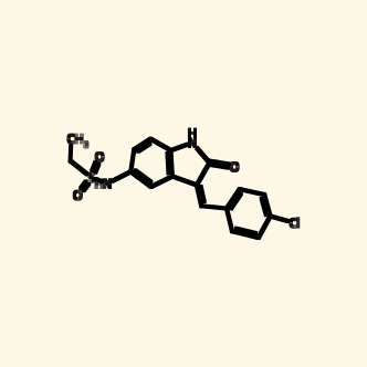 CCS(=O)(=O)Nc1ccc2c(c1)C(=Cc1ccc(Cl)cc1)C(=O)N2